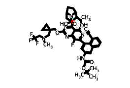 C#Cc1cccc2cc(NC(=O)OC(C)(C)C)cc(-c3nc4c5c(nc(OCC6(CN(C)CC(F)(F)F)CC6)nc5c3F)N3CC5CCC(C3C(C)O4)N5C(=O)O)c12